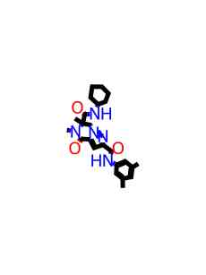 Cc1cc(C)cc(NC(=O)c2cc3n(n2)CC(C)(C(=O)NC2CCCCC2)N(C)C3=O)c1